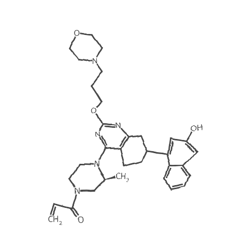 C=CC(=O)N1CCN(c2nc(OCCCN3CCOCC3)nc3c2CCC(c2cc(O)cc4ccccc24)C3)[C@@H](C)C1